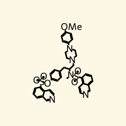 COc1ccc(N2CCN(CC(Cc3ccc(OS(=O)(=O)c4cccc5cnccc45)cc3)N(C)S(=O)(=O)c3cccc4cnccc34)CC2)cc1